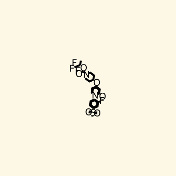 CC(OC(=O)N1CCC(Oc2ccn(-c3ccc(S(C)(=O)=O)cc3F)c(=O)c2)CC1)C(F)(F)F